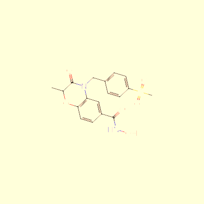 CC1Oc2ccc(C(=O)NO)cc2N(Cc2ccc(S(C)(=O)=O)cc2)C1=O